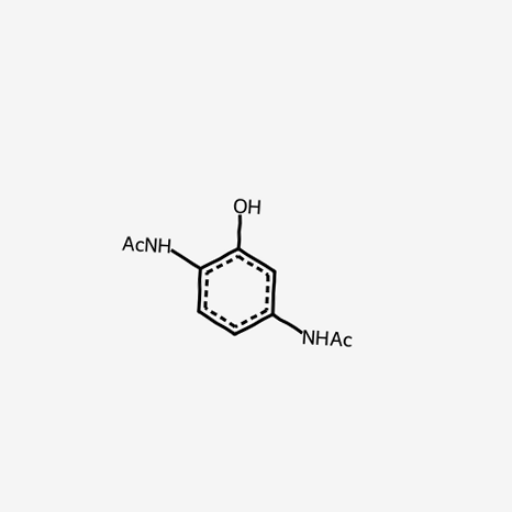 CC(=O)Nc1ccc(NC(C)=O)c(O)c1